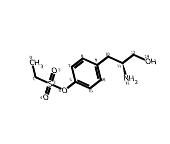 CCS(=O)(=O)Oc1ccc(C[C@H](N)CO)cc1